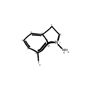 NN1CCc2cccc(I)c21